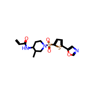 C=CC(=O)NC1CCN(S(=O)(=O)c2ccc(-c3cnco3)s2)CC1C